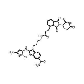 CCn1nc(C)cc1Nc1nc2cc(C(N)=O)ccc2n1CCCCNC(=O)COc1cccc2c1C(=O)N(C1CCC(=O)NC1=O)C2=O